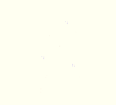 CN1CCC(C2N=CC(=O)C3=C2N=CC3)CC1